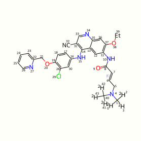 [2H]C([2H])([2H])N(C/C=C/C(=O)Nc1cc2c(Nc3ccc(OCc4ccccn4)c(Cl)c3)c(C#N)cnc2cc1OCC)C([2H])([2H])[2H]